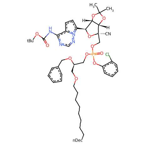 CCCCCCCCCCCCCCCCCCOC[C@H](COP(=O)(OC[C@@]1(C#N)O[C@@H](c2ccc3c(NC(=O)OC(C)(C)C)ncnn23)[C@@H]2OC(C)(C)O[C@@H]21)Oc1ccccc1Cl)OCc1ccccc1